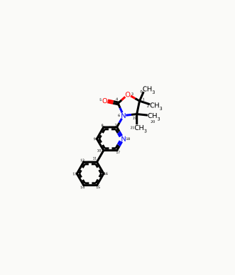 CC1(C)OC(=O)N(c2ccc(-c3ccccc3)cn2)C1(C)C